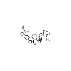 CC[C@H](C)Oc1nncc2cc(-c3cc(C(=O)NC4CC4)ccc3C)ccc12